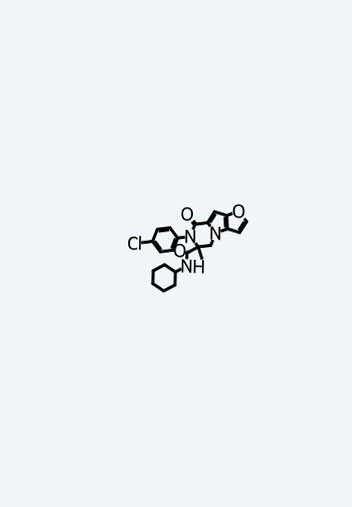 CC1(C(=O)NC2CCCCC2)Cn2c(cc3occc32)C(=O)N1c1ccc(Cl)cc1